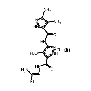 CCC(N)=NNC(=O)c1[nH]nc(NC(=O)c2[nH]nc(N)c2C)c1C.Cl.Cl